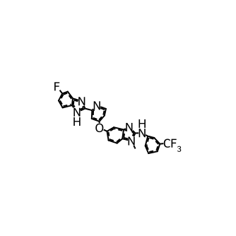 Cn1c(Nc2cccc(C(F)(F)F)c2)nc2cc(Oc3ccnc(-c4nc5cc(F)ccc5[nH]4)c3)ccc21